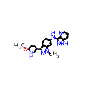 COC1C=CC(c2nn(C)c3cc(Nc4n[nH]c5cccnc45)ccc23)=CN1